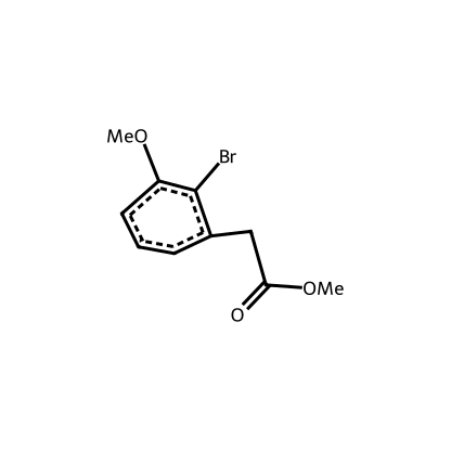 COC(=O)Cc1cccc(OC)c1Br